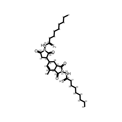 CCCCCCCCC(=S)NN1C(=O)CC(C2C=C(C)C3C(=O)N(NC(=S)CCCCCCCC)C(=O)C3C2)C1=O